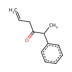 C=CCC(=O)C(C)c1ccccc1